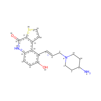 NC1CCN(C/C=C/c2c(O)ccc3[nH]c(=O)c4sccc4c23)CC1